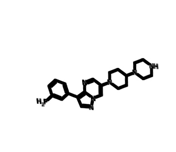 Pc1cccc(-c2cnn3cc(N4CCC(N5CCNCC5)CC4)cnc23)c1